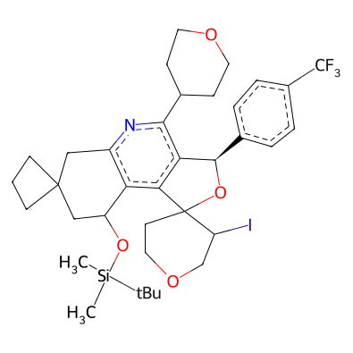 CC(C)(C)[Si](C)(C)OC1CC2(CCC2)Cc2nc(C3CCOCC3)c3c(c21)C1(CCOCC1I)O[C@@H]3c1ccc(C(F)(F)F)cc1